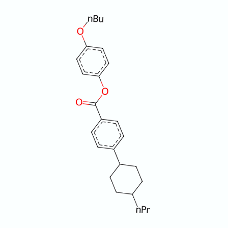 CCCCOc1ccc(OC(=O)c2ccc(C3CCC(CCC)CC3)cc2)cc1